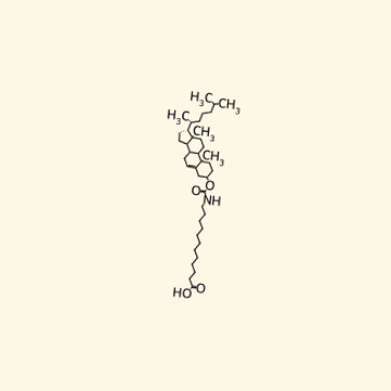 CC(C)CCC[C@@H](C)[C@H]1CCC2C3CC=C4CC(OC(=O)NCCCCCCCCCCCC(=O)O)CC[C@]4(C)C3CC[C@@]21C